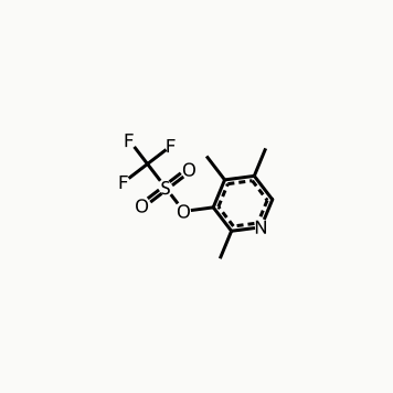 Cc1cnc(C)c(OS(=O)(=O)C(F)(F)F)c1C